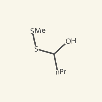 CCCC(O)SSC